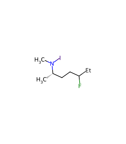 CCC(F)CC[C@H](C)N(C)I